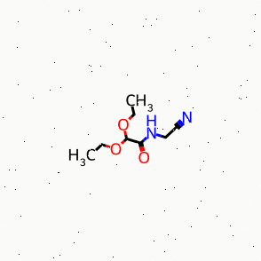 CCOC(OCC)C(=O)NCC#N